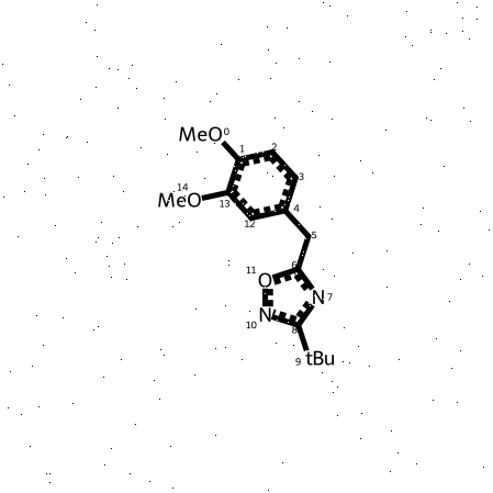 COc1ccc(Cc2nc(C(C)(C)C)no2)cc1OC